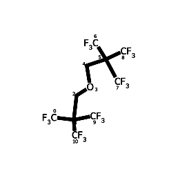 FC(F)(F)C(COCC(C(F)(F)F)(C(F)(F)F)C(F)(F)F)(C(F)(F)F)C(F)(F)F